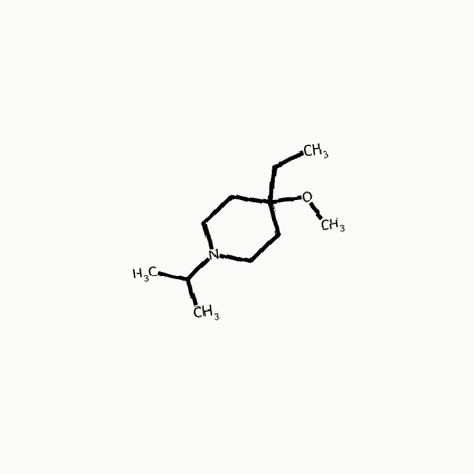 CCC1(OC)CCN(C(C)C)CC1